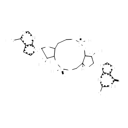 Nc1nc2c(ncn2[C@@H]2O[C@@H]3CO[P@@](=O)(S)O[C@@H]4C(CCO[P@@](=O)(S)O[C@H]3[C@H]2O)O[C@@H](n2ccc3c(N)ncnc32)[C@@H]4O)c(=O)[nH]1